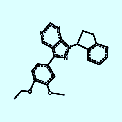 CCOc1ccc(-c2nn(C3CCc4ccccc43)c3ncncc23)cc1OC